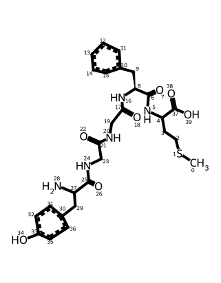 CSCCC(NC(=O)[C@H](Cc1ccccc1)NC(=O)CNC(=O)CNC(=O)C(N)Cc1ccc(O)cc1)C(=O)O